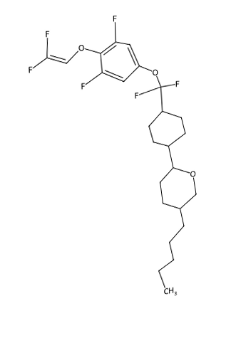 CCCCCC1CCC(C2CCC(C(F)(F)Oc3cc(F)c(OC=C(F)F)c(F)c3)CC2)OC1